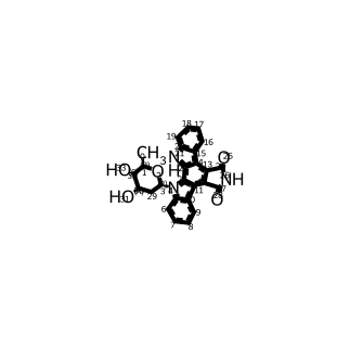 C[C@H]1O[C@@H](n2c3ccccc3c3c4c(c5c6ccccc6[nH]c5c32)C(=O)NC4=O)C[C@@H](O)[C@@H]1O